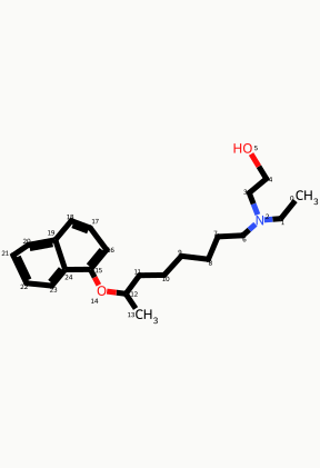 CCN(CCO)CCCCCCC(C)Oc1cccc2ccccc12